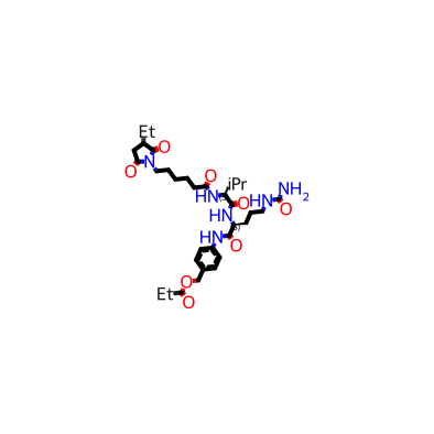 CCC(=O)OCc1ccc(NC(=O)[C@H](CCCNC(N)=O)NC(=O)[C@@H](NC(=O)CCCCCN2C(=O)CC(CC)C2=O)C(C)C)cc1